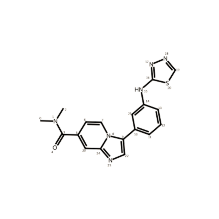 CN(C)C(=O)c1ccn2c(-c3cccc(Nc4nncs4)c3)cnc2c1